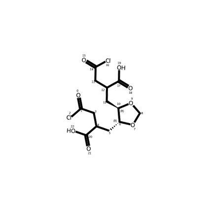 O=C(Cl)CC(C[C@H]1OCO[C@@H]1CC(CC(=O)Cl)C(=O)O)C(=O)O